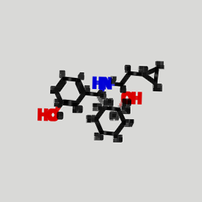 Oc1cccc(C(NCCC2CC2)[C@H]2CCCC[C@H]2O)c1